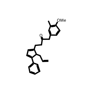 C=CCC1C(CCC(=O)Cc2ccc(OC)c(C)c2)=CC=C1c1ccccc1